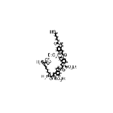 CCOC(=O)n1c(C(=O)N2CCc3c2ccc2c3cc(C(=O)N3CCc4c3ccc3c4cc(C(=O)N(C)CCCCCCN(C)C(=O)C(F)(F)F)n3C(=O)OCC)n2C(=O)OCC)cc2c3c(ccc21)N(C(=O)CCCCCO)CC3